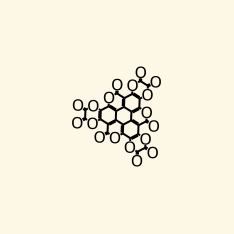 O=c1oc2c(oc1=O)c1c(=O)oc3c4oc(=O)c(=O)oc4c4c(=O)oc5c6oc(=O)c(=O)oc6c6c(=O)oc2c2c1c3c4c5c62